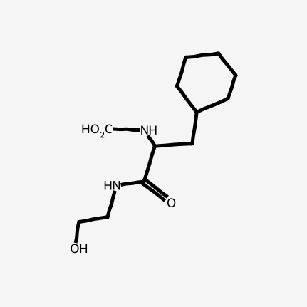 O=C(O)NC(CC1CCCCC1)C(=O)NCCO